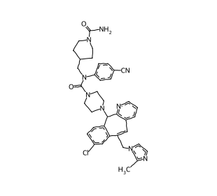 Cc1nccn1CC1=Cc2cccnc2C(N2CCN(C(=O)N(CC3CCN(C(N)=O)CC3)c3ccc(C#N)cc3)CC2)c2ccc(Cl)cc21